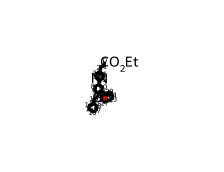 CCOC(=O)C=Cc1cnc(-c2ccc(OCc3ccccc3)c(C34CC5CC(CC(C5)C3)C4)c2)nc1